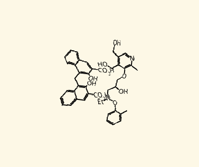 CCN(CC(O)COc1c(C)ncc(CO)c1CO)Oc1ccccc1C.O=C(O)c1cc2ccccc2c(Cc2c(O)c(C(=O)O)cc3ccccc23)c1O